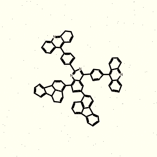 C1=Cc2c(nc3ccccc3c2-c2ccc(-c3nc(-c4ccc(-c5c6ccccc6nc6ccccc56)cc4)c4cc(-c5ccc6c7c(cccc57)-c5ccccc5-6)cc(C5=C6C=CCC7c8ccccc8C(C=C5)C67)c4n3)cc2)CC1